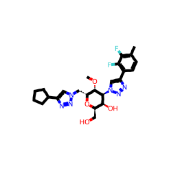 CO[C@@H]1[C@@H](n2cc(-c3ccc(C)c(F)c3F)nn2)[C@@H](O)[C@@H](CO)O[C@@H]1Cn1cc(C2CCCC2)nn1